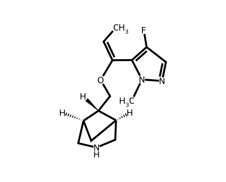 C/C=C(/OC[C@H]1[C@@H]2CNC[C@H]1C2)c1c(F)cnn1C